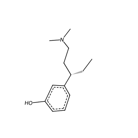 CC[C@@H](CCN(C)C)c1cccc(O)c1